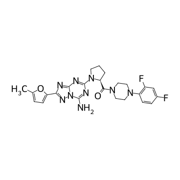 Cc1ccc(-c2nc3nc(N4CCC[C@H]4C(=O)N4CCN(c5ccc(F)cc5F)CC4)nc(N)n3n2)o1